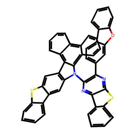 c1ccc2c(c1)oc1cc(-c3nc4sc5ccccc5c4nc3-n3c4cc5c(cc4c4c6ccccc6c6ccccc6c43)sc3ccccc35)ccc12